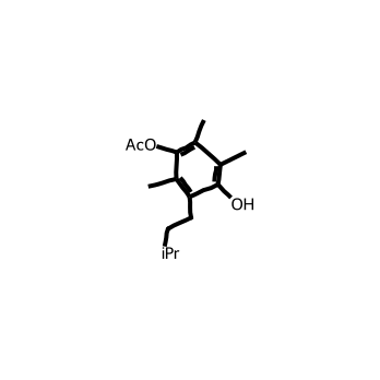 CC(=O)Oc1c(C)c(C)c(O)c(CCC(C)C)c1C